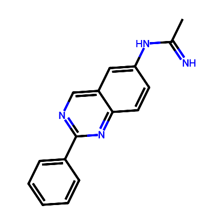 CC(=N)Nc1ccc2nc(-c3ccccc3)ncc2c1